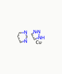 [Cu].c1c[nH]nn1.c1cncnc1